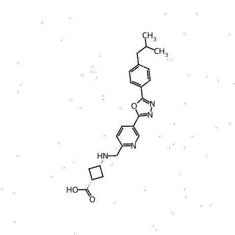 CC(C)Cc1ccc(-c2nnc(-c3ccc(CN[C@H]4C[C@@H](C(=O)O)C4)nc3)o2)cc1